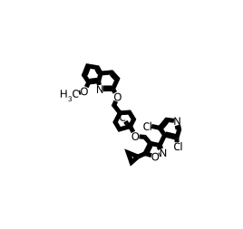 COc1cccc2ccc(OCC34CCC(OCc5c(-c6c(Cl)cncc6Cl)noc5C5CC5)(CC3)CC4)nc12